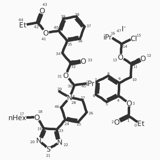 CCC(=O)Oc1ccccc1CC(=O)OC(Cl)C(C)C.CCCCCCOc1nsnc1C1=CCC[N+](C)(C(OC(=O)Cc2ccccc2OC(=O)CC)C(C)C)C1.[I-]